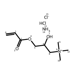 C=CC(=O)OCC(O)C[N+](C)(C)C.Cl.N.[Cl-]